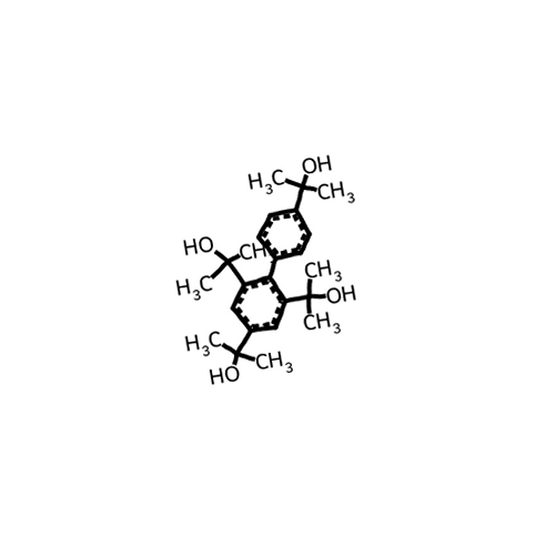 CC(C)(O)c1ccc(-c2c(C(C)(C)O)cc(C(C)(C)O)cc2C(C)(C)O)cc1